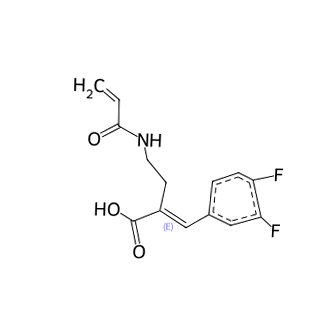 C=CC(=O)NCC/C(=C\c1ccc(F)c(F)c1)C(=O)O